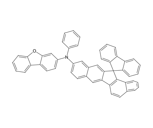 c1ccc(N(c2ccc3cc4c(cc3c2)C2(c3ccccc3-c3ccccc32)c2c-4ccc3ccccc23)c2ccc3c(c2)oc2ccccc23)cc1